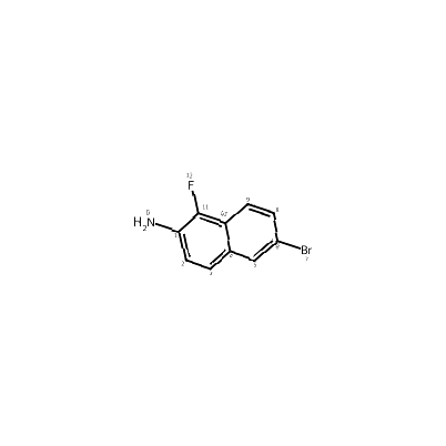 Nc1ccc2cc(Br)ccc2c1F